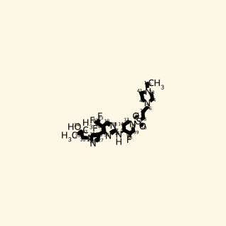 CCN1CCN(CCCS(=O)(=O)N2CC[C@H](Nc3ncc(C(F)(F)F)c(-c4cnn(CC(C)(C)O)c4)n3)[C@H](F)C2)CC1